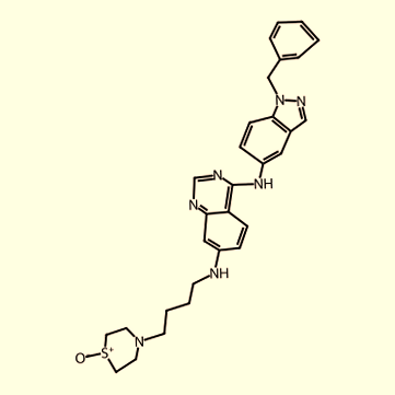 [O-][S+]1CCN(CCCCNc2ccc3c(Nc4ccc5c(cnn5Cc5ccccc5)c4)ncnc3c2)CC1